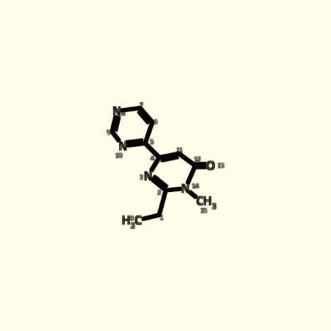 CCc1nc(-c2ccncn2)cc(=O)n1C